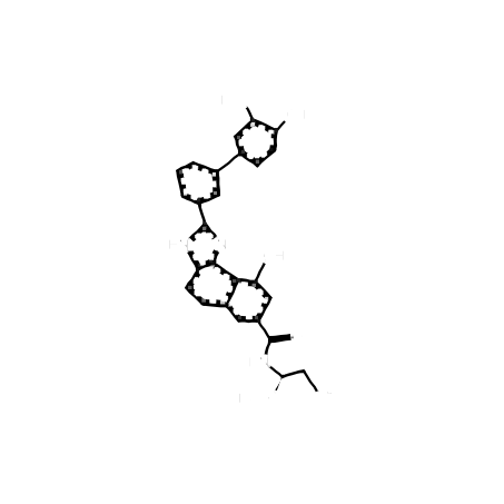 Cc1ccc(-c2cccc(-c3nc4c(ccc5cc(C(=O)N[C@@H](CC(C)C)C(=O)O)cc(O)c54)[nH]3)c2)cc1C